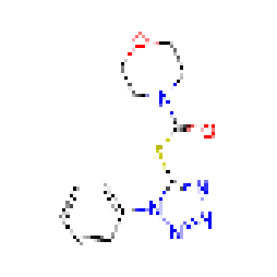 O=C(Sc1nnnn1-c1ccccc1)N1CCOCC1